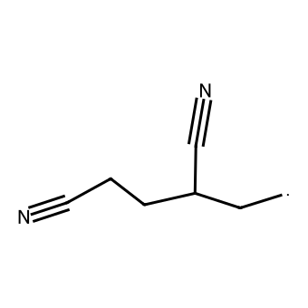 [CH2]CC(C#N)CCC#N